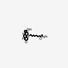 CCCN(C)C(=O)CCCCCCCC[C@H]1C[C@]2(C)[C@@H](O)CC[C@H]2[C@@H]2CC[C@H]3CC(=O)CC[C@]3(C)[C@@H]12